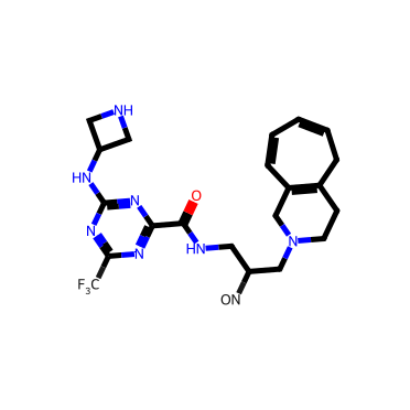 O=NC(CNC(=O)c1nc(NC2CNC2)nc(C(F)(F)F)n1)CN1CCC2=C(C=CC=CC2)C1